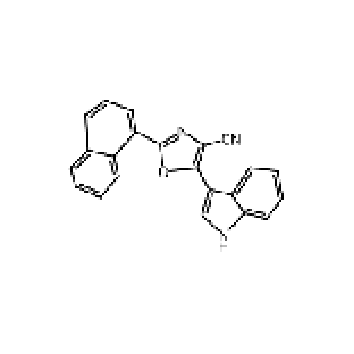 N#Cc1nc(-c2cccc3ccccc23)oc1-c1c[nH]c2ccccc12